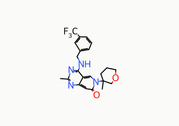 Cc1nc(NCc2cccc(C(F)(F)F)c2)c2cn(C3(C)CCCOC3)c(=O)cc2n1